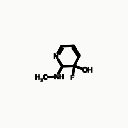 CNC1N=CC=CC1(O)F